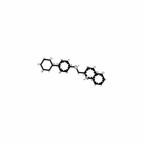 c1ccc2nc(COc3ccc([C]4CCCCC4)cc3)ccc2c1